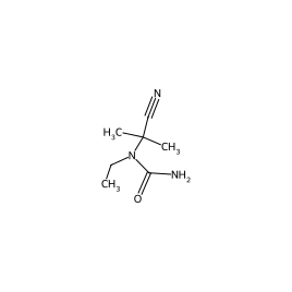 CCN(C(N)=O)C(C)(C)C#N